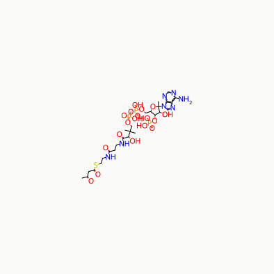 CC(=O)CC(=O)SCCNC(=O)CCNC(=O)C(O)C(C)(C)COP(=O)(O)OP(=O)(O)OCC1OC(C)(n2cnc3c(N)ncnc32)C(O)C1OP(=O)(O)O